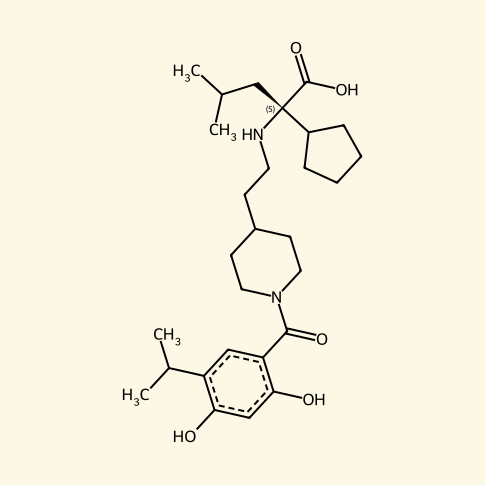 CC(C)C[C@@](NCCC1CCN(C(=O)c2cc(C(C)C)c(O)cc2O)CC1)(C(=O)O)C1CCCC1